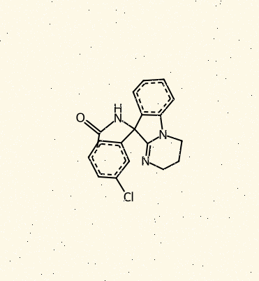 CC(=O)NC1(c2cccc(Cl)c2)C2=NCCCN2c2ccccc21